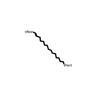 [CH2]CCCCCCCCC=CCCCCCCCCCCCCCC(C)CC[CH2]